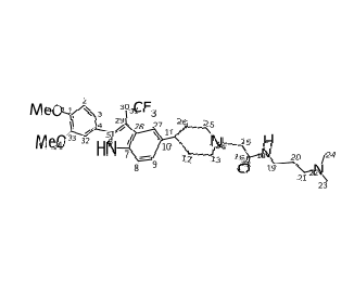 COc1ccc(-c2[nH]c3ccc(C4CCN(CC(=O)NCCCN(C)C)CC4)cc3c2CC(F)(F)F)cc1OC